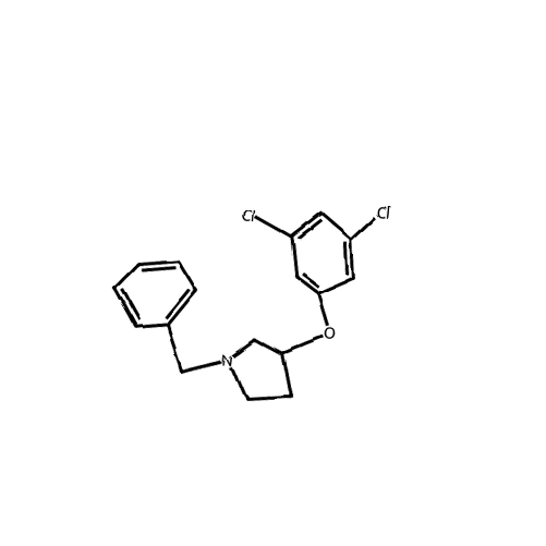 Clc1cc(Cl)cc(OC2CCN(Cc3ccccc3)C2)c1